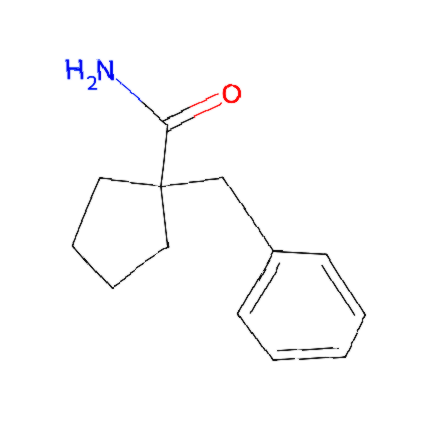 NC(=O)C1(Cc2ccccc2)CCCC1